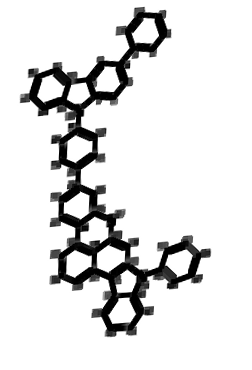 c1ccc(-c2ccc3c(c2)c2ccccc2n3-c2ccc(-c3ccc4c(c3)Sc3cc5c(c6cccc-4c36)c3ccccc3n5-c3ccccc3)cc2)cc1